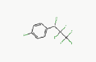 Fc1ccc(C(F)C(F)(F)C(F)(F)F)cc1